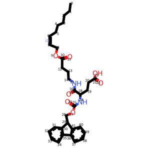 CCCCCC/C=C\COC(=O)CCCNC(=O)C(CCC(=O)O)NC(=O)OCC1c2ccccc2-c2ccccc21